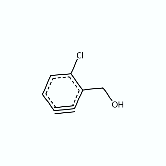 OCc1c#cccc1Cl